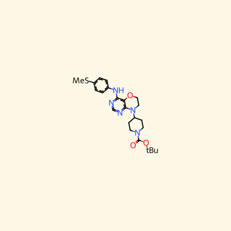 CSc1ccc(Nc2ncnc3c2OCCN3C2CCN(C(=O)OC(C)(C)C)CC2)cc1